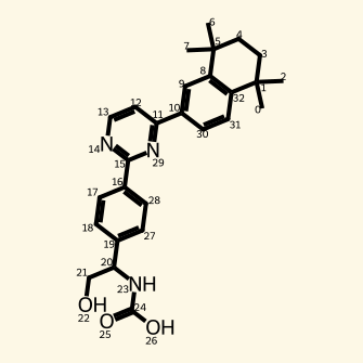 CC1(C)CCC(C)(C)c2cc(-c3ccnc(-c4ccc(C(CO)NC(=O)O)cc4)n3)ccc21